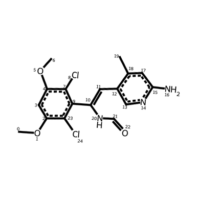 COc1cc(OC)c(Cl)c(/C(=C/c2cnc(N)cc2C)NC=O)c1Cl